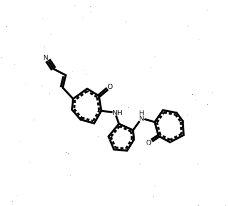 N#C/C=C/c1cccc(Nc2ccccc2Nc2cccccc2=O)c(=O)c1